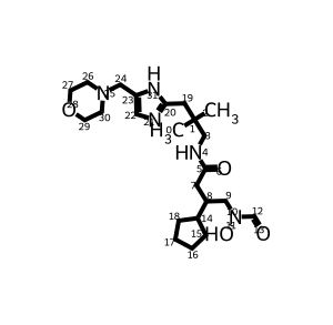 CC(C)(CNC(=O)CC(CN(O)C=O)C1CCCC1)Cc1ncc(CN2CCOCC2)[nH]1